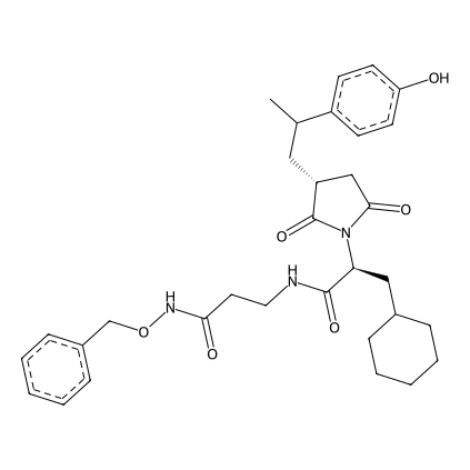 CC(C[C@@H]1CC(=O)N([C@@H](CC2CCCCC2)C(=O)NCCC(=O)NOCc2ccccc2)C1=O)c1ccc(O)cc1